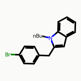 CCCCn1c(Cc2ccc(Br)cc2)cc2ccccc21